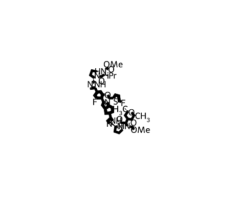 COC(=O)NC(C(=O)N1CCC[C@H]1c1ncc(-c2ccc3c(c2)cc2n3C(c3ccc(F)s3)Oc3cc(-c4cnc([C@@H]5CCCN5C(=O)[C@@H](NC(=O)OC)C(C)C)[nH]4)cc(F)c3-2)[nH]1)C1C[C@@H](C)O[C@@H](C)C1